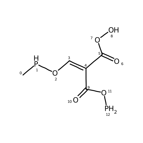 CPO/C=C(/C(=O)OO)C(=O)OP